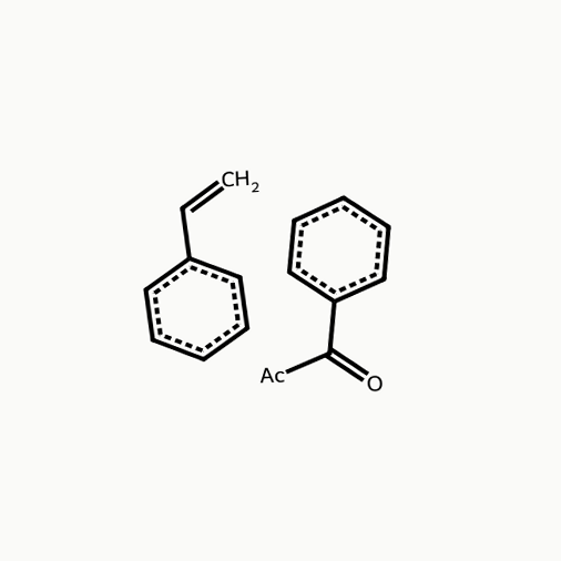 C=Cc1ccccc1.CC(=O)C(=O)c1ccccc1